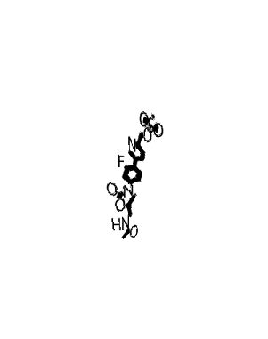 CC(=O)NCC1CN(c2ccc(-c3ccc(COS(C)(=O)=O)nc3)c(F)c2)C(=O)O1